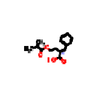 C=C(C)C(=O)OCC/C(=C\c1ccccc1)C(=O)O